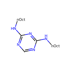 CCCCCCCCNc1n[c]nc(NCCCCCCCC)n1